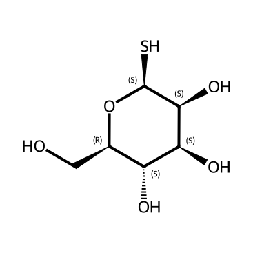 OC[C@H]1O[C@@H](S)[C@@H](O)[C@@H](O)[C@@H]1O